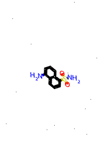 Nc1cccc2c(S(N)(=O)=O)cccc12